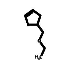 CCOCC1CC=CS1